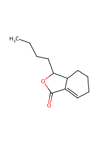 CCCCC1OC(=O)C2=CCCCC21